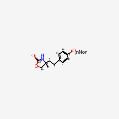 CCCCCCCCCOc1ccc(CCC2(C)COC(=O)N2)cc1